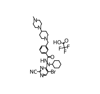 CN1CCN(C2CCN(Cc3cccc(C(=O)NN(c4nc(C#N)ncc4Br)C4CCCCC4)c3)CC2)CC1.O=C(O)C(F)(F)F